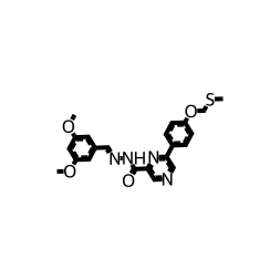 COc1cc(/C=N/NC(=O)c2cncc(-c3ccc(OCSC)cc3)n2)cc(OC)c1